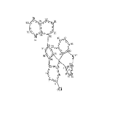 Clc1ccc2c(c1)C1(c3ccccc3Sc3ccccc31)c1cc(-c3cccc4cccnc34)ccc1-2